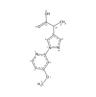 COc1ccnc(-n2cc(C(C)C(=O)O)cn2)c1